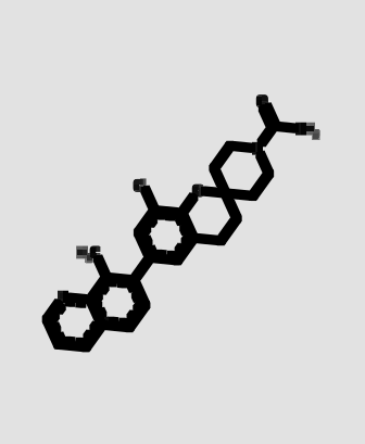 Cc1c(-c2cc(Cl)c3c(c2)CCC2(CCN(C(N)=O)CC2)O3)ccc2cccnc12